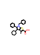 Cc1c(C(=O)O)sc2c1c(C1CCCCC1)c(-c1ccccc1)n2Cc1ccccc1